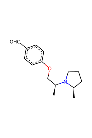 C[C@@H]1CCCN1[C@@H](C)COc1ccc(C=O)cc1